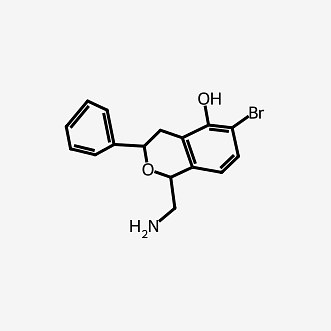 NCC1OC(c2ccccc2)Cc2c1ccc(Br)c2O